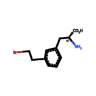 N[C@@H](Cc1cccc(CCBr)c1)C(=O)O